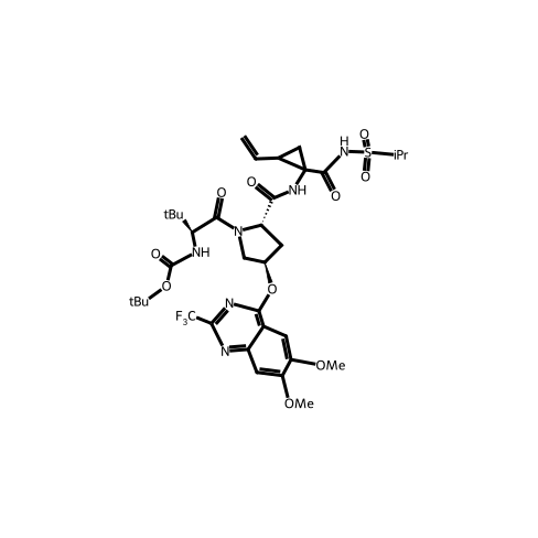 C=CC1CC1(NC(=O)[C@@H]1C[C@@H](Oc2nc(C(F)(F)F)nc3cc(OC)c(OC)cc23)CN1C(=O)[C@@H](NC(=O)OC(C)(C)C)C(C)(C)C)C(=O)NS(=O)(=O)C(C)C